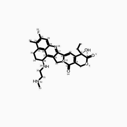 CC[C@@]1(O)C(=O)OCc2c1cc1n(c2=O)Cc2c-1nc1cc(F)c(C)c3c1c2[C@@H](NCCNC)CC3